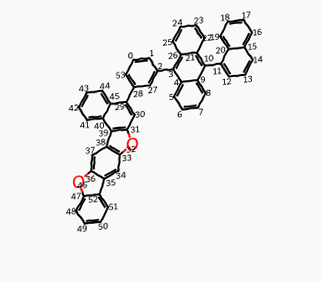 c1cc(-c2c3ccccc3c(-c3cccc4ccccc34)c3ccccc23)cc(-c2cc3oc4cc5c(cc4c3c3ccccc23)oc2ccccc25)c1